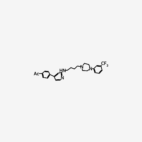 CC(=O)c1ccc(-c2ccnc(NCCCCN3CCN(c4cccc(C(F)(F)F)c4)CC3)c2)cc1